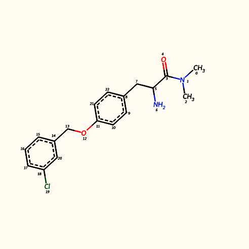 CN(C)C(=O)C(N)Cc1ccc(OCc2cccc(Cl)c2)cc1